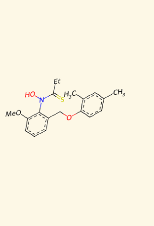 CCC(=S)N(O)c1c(COc2ccc(C)cc2C)cccc1OC